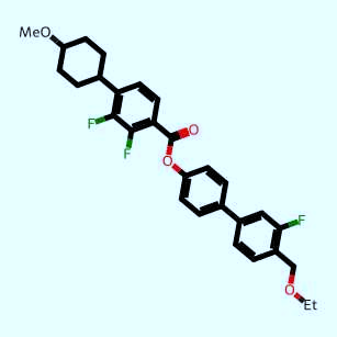 CCOCc1ccc(-c2ccc(OC(=O)c3ccc(C4CCC(OC)CC4)c(F)c3F)cc2)cc1F